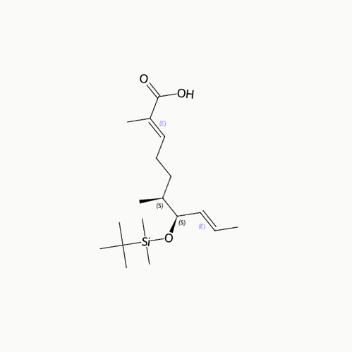 C/C=C/[C@@H](O[Si](C)(C)C(C)(C)C)[C@@H](C)CC/C=C(\C)C(=O)O